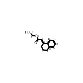 CCOC(=O)/C=C1\CCCc2ccccc21